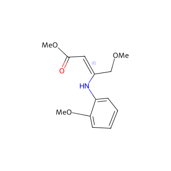 COC/C(=C/C(=O)OC)Nc1ccccc1OC